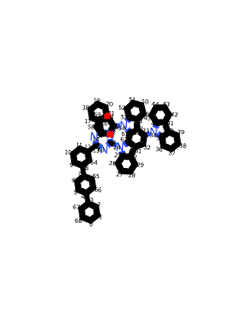 c1ccc(-c2ccc(-c3cccc(-c4nc(-c5ccccc5)nc(-n5c6ccccc6c6cc(-n7c8ccccc8c8ccccc87)c7c8ccccc8n(-c8ccccc8)c7c65)n4)c3)cc2)cc1